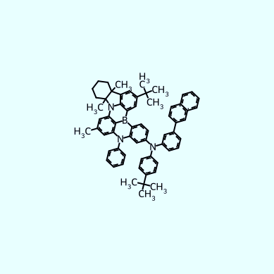 Cc1cc2c3c(c1)N1c4c(cc(C(C)(C)C)cc4C4(C)CCCCC14C)B3c1ccc(N(c3ccc(C(C)(C)C)cc3)c3cccc(-c4ccc5ccccc5c4)c3)cc1N2c1ccccc1